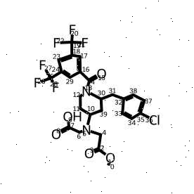 COC(=O)CN(CC(=O)O)C1CCN(C(=O)c2cc(C(F)(F)F)cc(C(F)(F)F)c2)C(Cc2ccc(Cl)cc2)C1